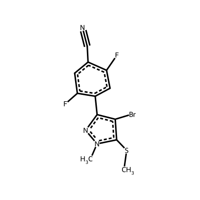 CSc1c(Br)c(-c2cc(F)c(C#N)cc2F)nn1C